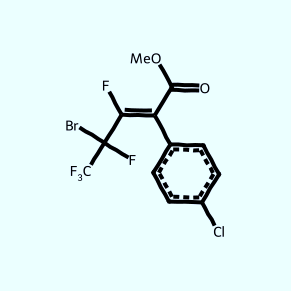 COC(=O)/C(=C(\F)C(F)(Br)C(F)(F)F)c1ccc(Cl)cc1